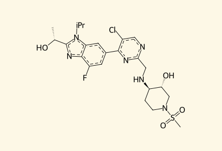 CC(C)n1c([C@@H](C)O)nc2c(F)cc(-c3nc(CN[C@@H]4CCN(S(C)(=O)=O)C[C@H]4O)ncc3Cl)cc21